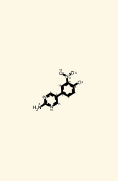 Nc1ncc(-c2ccc(Cl)c([N+](=O)[O-])c2)cn1